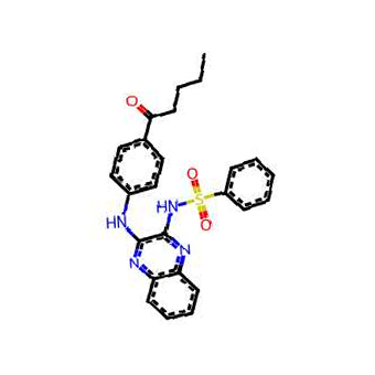 CCCCC(=O)c1ccc(Nc2nc3ccccc3nc2NS(=O)(=O)c2ccccc2)cc1